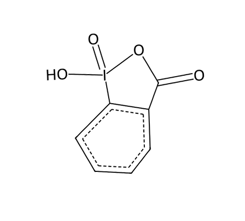 O=C1OI(=O)(O)c2ccccc21